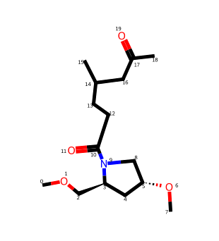 COC[C@@H]1C[C@@H](OC)CN1C(=O)CCC(C)CC(C)=O